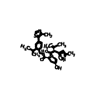 Cc1cc([C@H](C(=O)N2C[C@H](O)C[C@H]2C(=O)NCc2ccc(-c3scnc3C)cc2C(C)C)C(C)C)on1